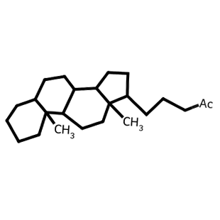 CC(=O)CCCC1CCC2C3CCC4CCCCC4(C)C3CCC12C